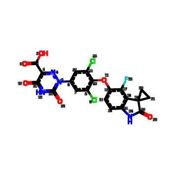 O=C(O)c1nn(-c2cc(Cl)c(Oc3ccc4c(c3F)C3(CC3)C(=O)N4)c(Cl)c2)c(=O)[nH]c1=O